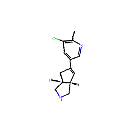 Cc1ncc(C2=C[C@@H]3CNC[C@@H]3C2)cc1Cl